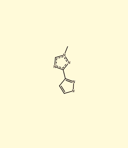 Cn1cnc(C2=N[N]C=C2)n1